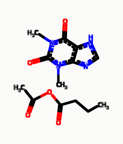 CCCC(=O)OC(C)=O.Cn1c(=O)c2[nH]cnc2n(C)c1=O